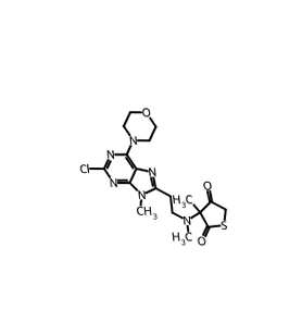 CN(CCc1nc2c(N3CCOCC3)nc(Cl)nc2n1C)C1(C)C(=O)CSC1=O